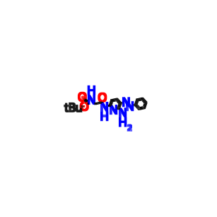 CC(C)(C)OC(=O)NCC(=O)Nc1ccc(N=Nc2ccccc2)c(N)n1